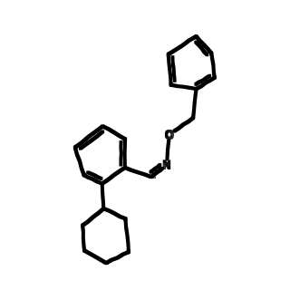 [C](=N/OCc1ccccc1)/c1ccccc1C1CCCCC1